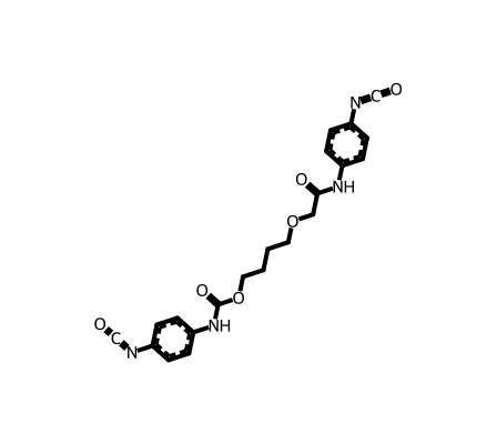 O=C=Nc1ccc(NC(=O)COCCCCOC(=O)Nc2ccc(N=C=O)cc2)cc1